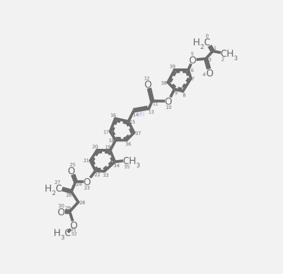 C=C(C)C(=O)Oc1ccc(OC(=O)/C=C/c2ccc(-c3ccc(OC(=O)C(=C)CC(=O)OC)cc3C)cc2)cc1